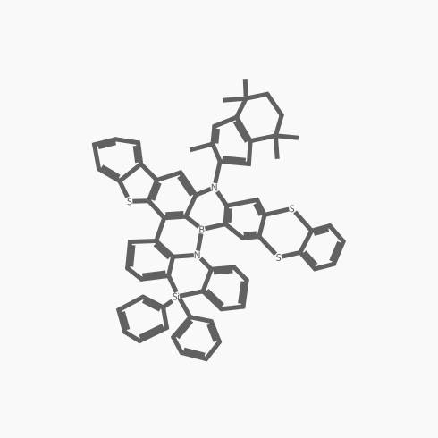 Cc1cc2c(cc1N1c3cc4c(cc3B3c5c1cc1c(sc6ccccc61)c5-c1cccc5c1N3c1ccccc1[Si]5(c1ccccc1)c1ccccc1)Sc1ccccc1S4)C(C)(C)CCC2(C)C